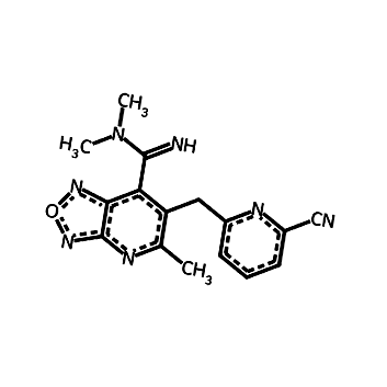 Cc1nc2nonc2c(C(=N)N(C)C)c1Cc1cccc(C#N)n1